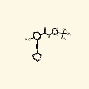 Cc1ccc(C(=O)Nc2nnc(C(C)(C)C)o2)cc1C#Cc1cccnc1